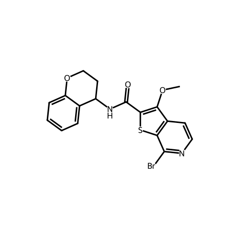 COc1c(C(=O)NC2CCOc3ccccc32)sc2c(Br)nccc12